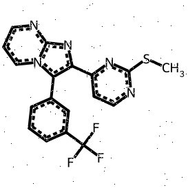 CSc1nccc(-c2nc3ncccn3c2-c2cccc(C(F)(F)F)c2)n1